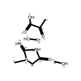 CC(=O)C(=O)O.CCO.CN1CC(=O)NC1=N.CO